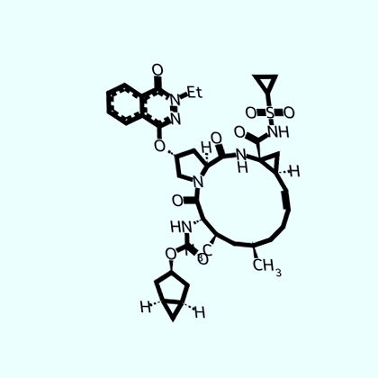 CCn1nc(O[C@@H]2C[C@H]3C(=O)N[C@]4(C(=O)NS(=O)(=O)C5CC5)C[C@H]4/C=C\CC[C@@H](C)C[C@@H](C)[C@H](NC(=O)O[C@@H]4C[C@@H]5C[C@@H]5C4)C(=O)N3C2)c2ccccc2c1=O